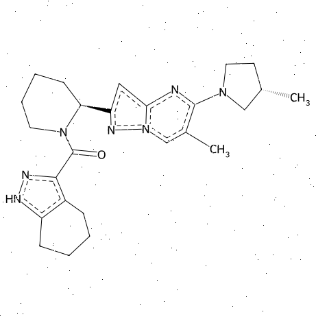 Cc1cn2nc([C@@H]3CCCCN3C(=O)c3n[nH]c4c3CCCC4)cc2nc1N1CC[C@H](C)C1